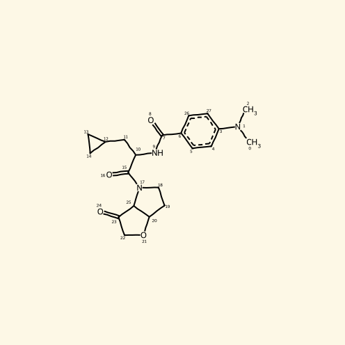 CN(C)c1ccc(C(=O)NC(CC2CC2)C(=O)N2CCC3OCC(=O)C32)cc1